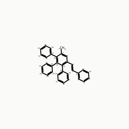 Cc1cc(C=Cc2ccccc2)c(-c2ccccc2)c(-c2ccccc2)c1-c1ccccc1